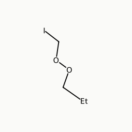 CCCOOCI